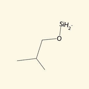 CC(C)CO[SiH2]